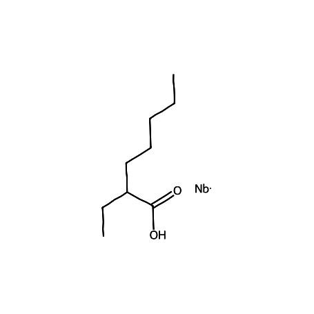 CCCCCC(CC)C(=O)O.[Nb]